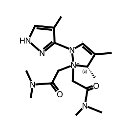 CC1=[C]N(c2n[nH]cc2C)[N+](CC(=O)N(C)C)(CC(=O)N(C)C)[C@H]1C